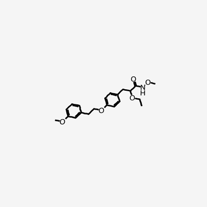 CCOC(Cc1ccc(OCCc2cccc(OC)c2)cc1)C(=O)NOC